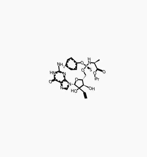 C#C[C@@]1(O)[C@H](O)[C@@H](COP(=S)(N[C@@H](C)C(=O)OC(C)C)Oc2ccccc2)O[C@H]1n1cnc2c(=O)[nH]c(N)nc21